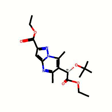 CCOC(=O)c1cc2nc(C)c([C@H](OC(C)(C)C)C(=O)OCC)c(C)n2n1